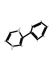 C1=COC(c2ccccc2)=C[N]1